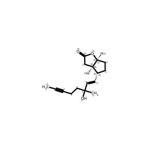 CC#CCCC(C)(O)C=C[C@H]1CC[C@@H]2OC(=O)C[C@@H]21